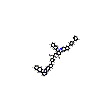 CC(C)(Cc1ccc2c3cc4ccc(-c5ccc(-c6ccccc6)cc5)cc4cc3n3c4cc5ccccc5cc4c1c23)c1ccc(-c2ccc3cc4c5cccc6c7cc8ccccc8cc7n(c4cc3c2)c65)cc1